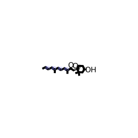 C/C=C/C=C(C)/C=C/C=C(\C)C(=O)C[C@@]12O[C@]1(C)C[C@@H](O)CC2(C)C